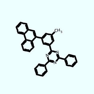 Cc1cc(-c2nc(-c3ccccc3)nc(-c3ccccc3)n2)cc(-c2cc3ccccc3c3ccccc23)c1